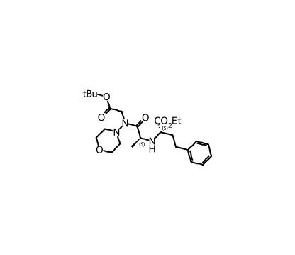 CCOC(=O)[C@H](CCc1ccccc1)N[C@@H](C)C(=O)N(CC(=O)OC(C)(C)C)N1CCOCC1